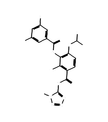 Cn1nnnc1NC(=O)c1ccc(OC(F)F)c(NC(=O)c2cc(F)cc(F)c2)c1Cl